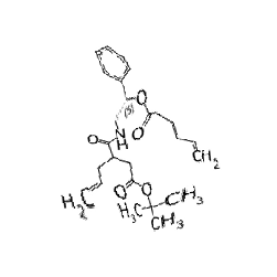 C=CCCC(=O)O[C@H](CNC(=O)C(CC=C)CC(=O)OC(C)(C)C)c1ccccc1